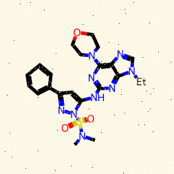 CCn1cnc2c(N3CCOCC3)nc(Nc3cc(-c4ccccc4)nn3S(=O)(=O)N(C)C)nc21